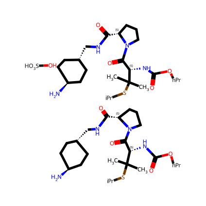 CCCOC(=O)N[C@@H](C(=O)N1CCC[C@H]1C(=O)NC[C@H]1CC[C@H](N)CC1)C(C)(C)SC(C)C.CCCOC(=O)N[C@@H](C(=O)N1CCC[C@H]1C(=O)NC[C@H]1CC[C@H](N)CC1)C(C)(C)SC(C)C.O=S(=O)(O)O